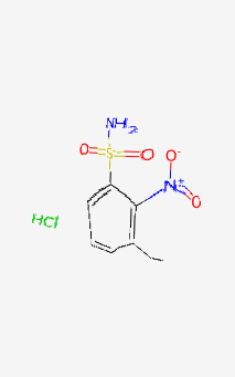 Cc1cccc(S(N)(=O)=O)c1[N+](=O)[O-].Cl